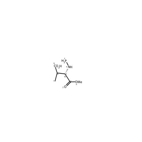 COC(=O)[C@@H](NP)C(C)C(=O)O